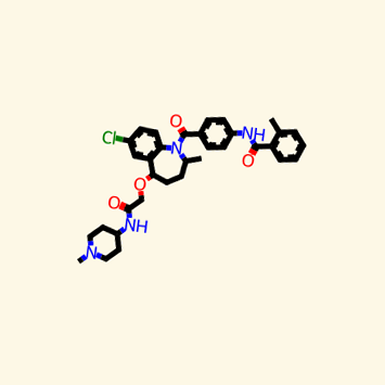 Cc1ccccc1C(=O)Nc1ccc(C(=O)N2c3ccc(Cl)cc3C(OCC(=O)NC3CCN(C)CC3)CCC2C)cc1